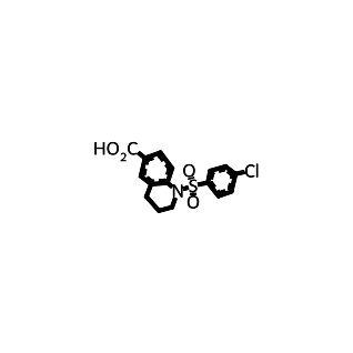 O=C(O)c1ccc2c(c1)CCCN2S(=O)(=O)c1ccc(Cl)cc1